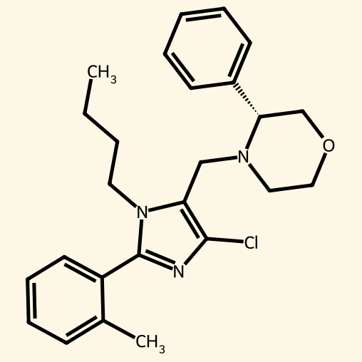 CCCCn1c(-c2ccccc2C)nc(Cl)c1CN1CCOC[C@H]1c1ccccc1